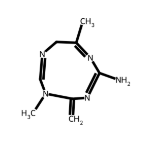 C=C1/N=C(N)\N=C(\C)C/N=C\N1C